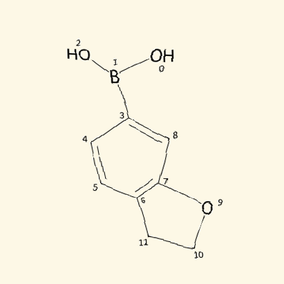 OB(O)c1ccc2c(c1)OCC2